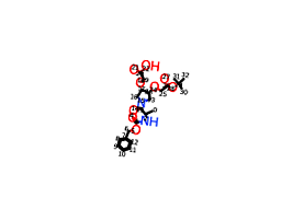 CC(NC(=O)OCc1ccccc1)C(=O)N1C[C@H](OCC(=O)O)[C@H](OCC(=O)OC(C)(C)C)C1